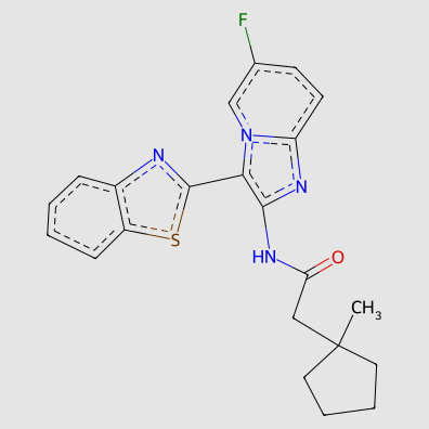 CC1(CC(=O)Nc2nc3ccc(F)cn3c2-c2nc3ccccc3s2)CCCC1